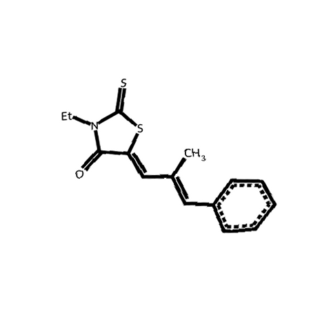 CCN1C(=O)/C(=C/C(C)=C/c2ccccc2)SC1=S